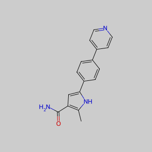 Cc1[nH]c(-c2ccc(-c3ccncc3)cc2)cc1C(N)=O